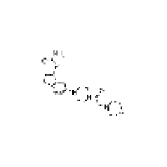 NC(=O)OC1CCc2ccc(N3CCN(C(=O)CN4CCOCC4)CC3)cc21